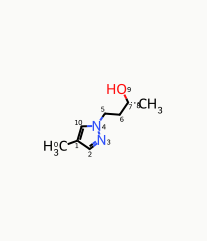 Cc1cnn(CC[C@@H](C)O)c1